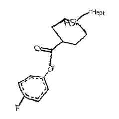 CCCCCCC[SiH]1CCC(C(=O)Oc2ccc(F)cc2)CC1